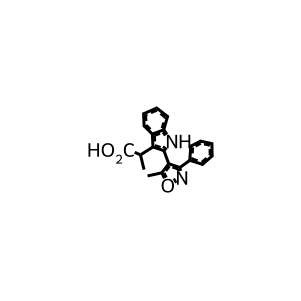 Cc1onc(-c2ccccc2)c1-c1[nH]c2ccccc2c1C(C)C(=O)O